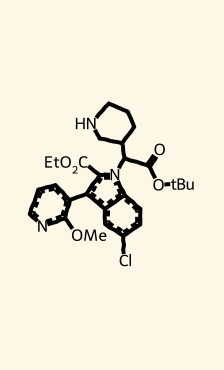 CCOC(=O)c1c(-c2cccnc2OC)c2cc(Cl)ccc2n1C(C(=O)OC(C)(C)C)C1CCCNC1